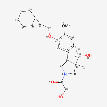 COc1ccc(C2CN(C(=O)CO)CC2(C)[C@H](C)O)cc1OCC1C2CCCCC21